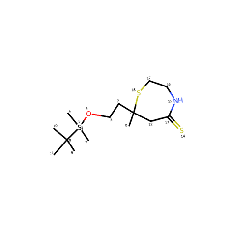 CC1(CCO[Si](C)(C)C(C)(C)C)CC(=S)NCCS1